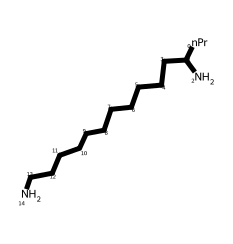 CCCC(N)CCCCCCCCCCCN